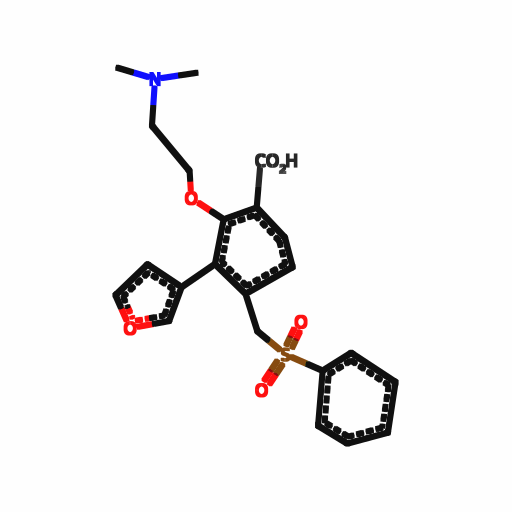 CN(C)CCOc1c(C(=O)O)ccc(CS(=O)(=O)c2ccccc2)c1-c1ccoc1